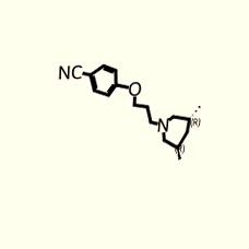 C[C@@H]1C[C@@H](C)CN(CCCOc2ccc(C#N)cc2)C1